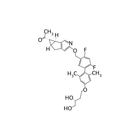 CC(=O)[C@H]1[C@@H]2Cc3cc(OCc4cc(-c5c(C)cc(OCC[C@@H](O)CO)cc5C)c(F)cc4F)ncc3[C@@H]21